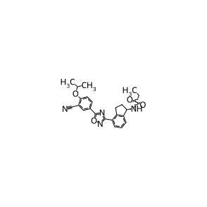 CCS(=O)(=O)N[C@@H]1CCc2c(-c3noc(-c4ccc(OC(C)C)c(C#N)c4)n3)cccc21